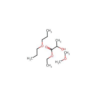 CCCOCCC.CCOC(=O)C(C)O.COC